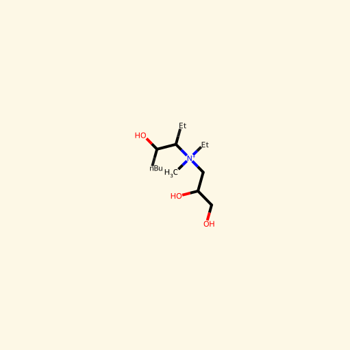 CCCCC(O)C(CC)[N+](C)(CC)CC(O)CO